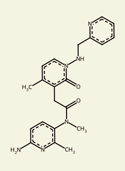 Cc1ccn(NCc2ccccn2)c(=O)c1CC(=O)N(C)c1ccc(N)nc1C